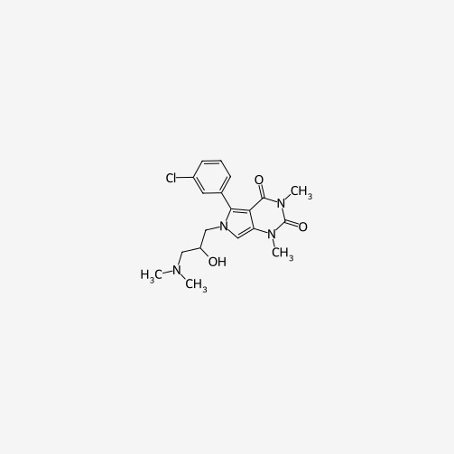 CN(C)CC(O)Cn1cc2c(c1-c1cccc(Cl)c1)c(=O)n(C)c(=O)n2C